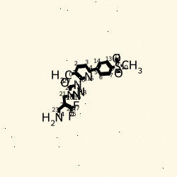 Cc1ccc(-c2ccc(S(C)(=O)=O)cc2)nc1-n1nnn(CC(CN)=C(F)F)c1=O